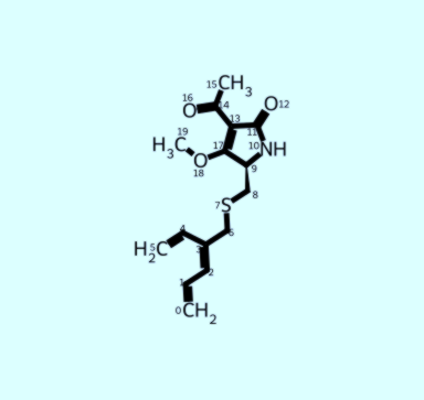 C=C/C=C(\C=C)CSC[C@@H]1NC(=O)C(C(C)=O)=C1OC